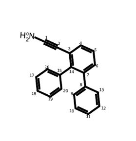 NC#Cc1cccc(-c2ccccc2)c1-c1ccccc1